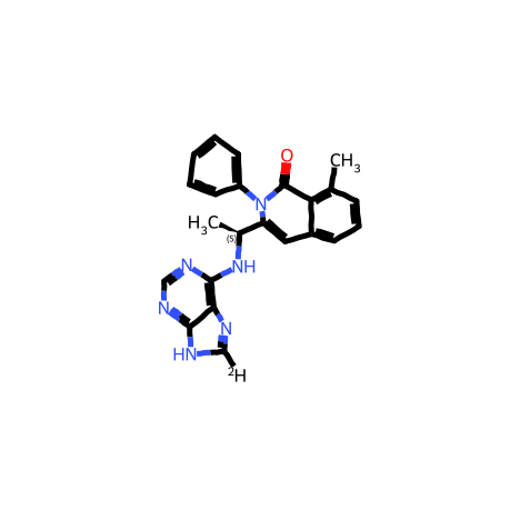 [2H]c1nc2c(N[C@@H](C)c3cc4cccc(C)c4c(=O)n3-c3ccccc3)ncnc2[nH]1